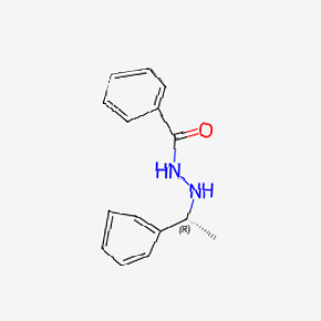 C[C@@H](NNC(=O)c1ccccc1)c1ccccc1